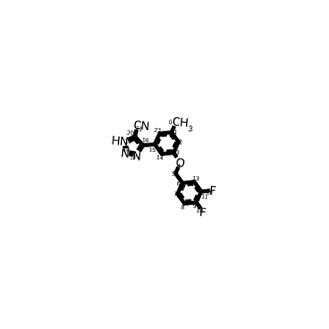 Cc1cc(OCc2ccc(F)c(F)c2)cc(-c2nn[nH]c2C#N)c1